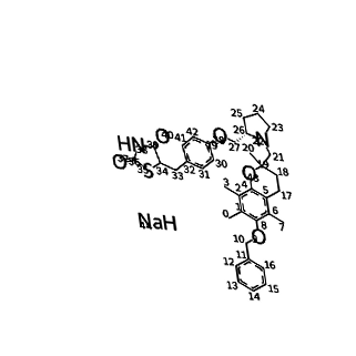 Cc1c(C)c2c(c(C)c1OCc1ccccc1)CCC(C)(CN1CCC[C@H]1COc1ccc(CC3SC(=O)NC3=O)cc1)O2.[NaH]